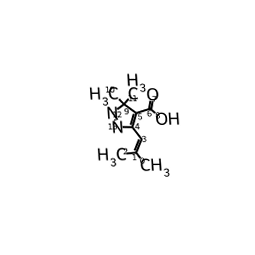 CC(C)=CC1=C(C(=O)O)C(C)(C)N=N1